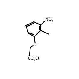 CCOC(=O)COc1cccc([N+](=O)[O-])c1C